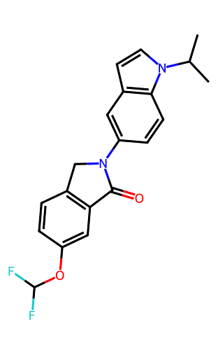 CC(C)n1ccc2cc(N3Cc4ccc(OC(F)F)cc4C3=O)ccc21